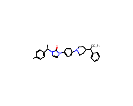 CCOC(=O)C(c1ccccc1)C1CCN(c2ccc(-n3ccn([C@H](C)c4ccc(C)cc4)c3=O)cc2)CC1